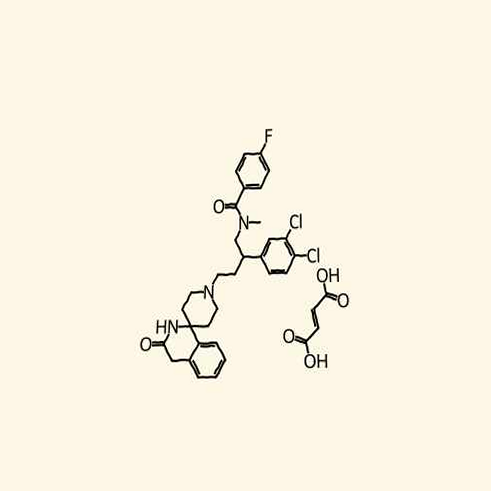 CN(CC(CCN1CCC2(CC1)NC(=O)Cc1ccccc12)c1ccc(Cl)c(Cl)c1)C(=O)c1ccc(F)cc1.O=C(O)C=CC(=O)O